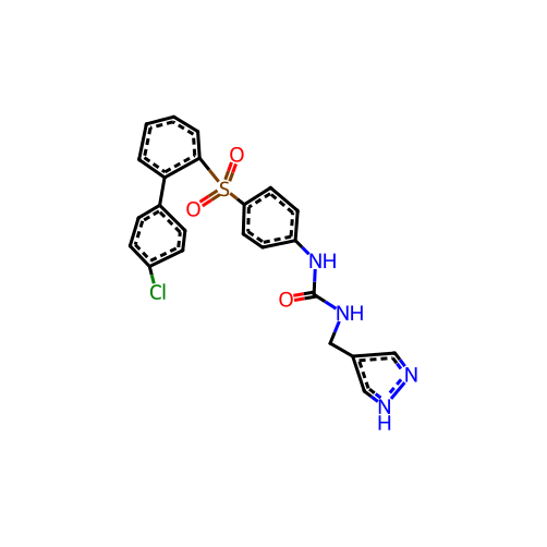 O=C(NCc1cn[nH]c1)Nc1ccc(S(=O)(=O)c2ccccc2-c2ccc(Cl)cc2)cc1